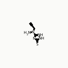 C#CCN(N)c1nc(=S)[nH][nH]1